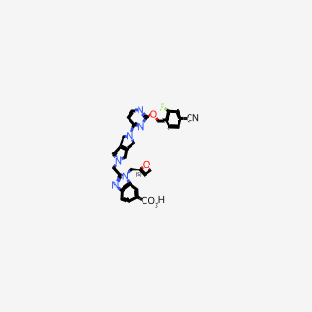 N#Cc1ccc(COc2nccc(N3CC4=C(CN(Cc5nc6ccc(C(=O)O)cc6n5C[C@@H]5CCO5)C4)C3)n2)c(F)c1